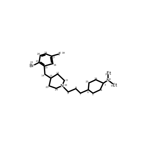 CCN(CC)C1CCC(CCCN2CCC(Cc3cc(F)ccc3Br)CC2)CC1